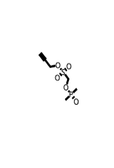 C#CCOS(=O)(=O)COP(C)(C)=O